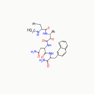 CCC(C)C(NC(=O)C(CC(C)C)NC(=O)O)C(=O)C(=O)NC(CC(N)=O)C(=O)NC(Cc1ccc2ccccc2c1)C(N)=O